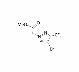 COC(=O)Cn1cc(Br)c(C(F)(F)F)n1